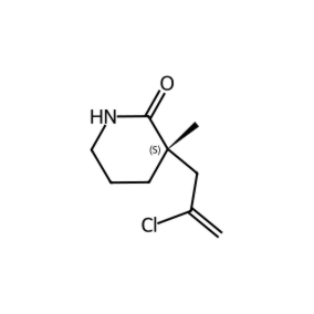 C=C(Cl)C[C@]1(C)CCCNC1=O